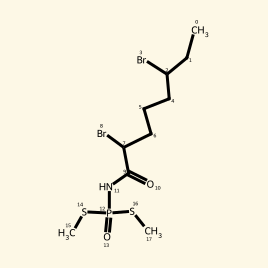 CCC(Br)CCCC(Br)C(=O)NP(=O)(SC)SC